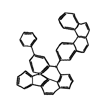 c1ccc(-c2cccc(N(c3ccc4c(ccc5ccc6ccccc6c54)c3)c3cccc4ccc5c6ccccc6oc5c34)c2)cc1